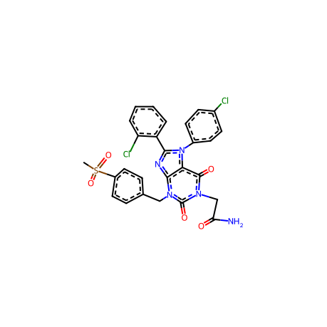 CS(=O)(=O)c1ccc(Cn2c(=O)n(CC(N)=O)c(=O)c3c2nc(-c2ccccc2Cl)n3-c2ccc(Cl)cc2)cc1